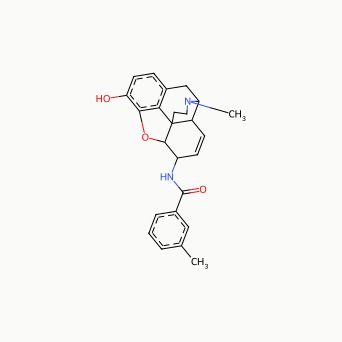 Cc1cccc(C(=O)NC2C=CC3C4Cc5ccc(O)c6c5C3(CCN4C)C2O6)c1